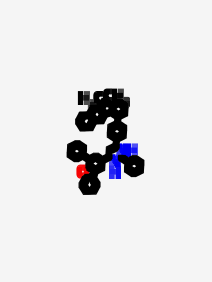 CC1(C)c2cc3ccccc3cc2-c2c(-c3ccc(C4=CC(c5cc(-c6ccccc6)c6oc7ccccc7c6c5)NC(c5ccccc5)N4)cc3)cccc21